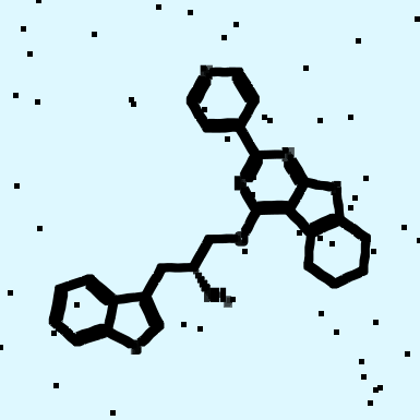 N[C@@H](COc1nc(-c2ccncc2)nc2sc3c(c12)CCCC3)Cc1csc2ccccc12